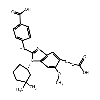 COc1cc2c(cc1CCC(=O)O)nc(Nc1ccc(C(=O)O)cc1)n2[C@H]1CCCC(C)(C)C1